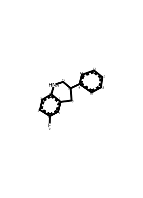 Fc1ccc2c(c1)CC(c1ccccc1)CN2